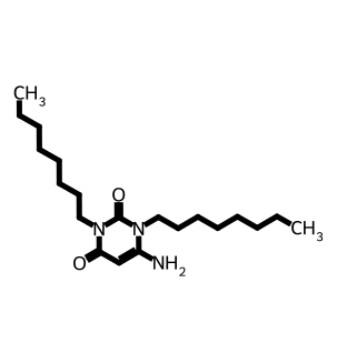 CCCCCCCCn1c(N)cc(=O)n(CCCCCCCC)c1=O